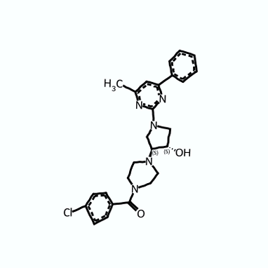 Cc1cc(-c2ccccc2)nc(N2C[C@H](O)[C@@H](N3CCN(C(=O)c4ccc(Cl)cc4)CC3)C2)n1